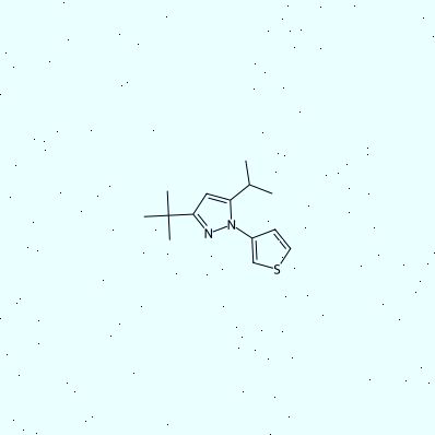 CC(C)c1cc(C(C)(C)C)nn1-c1ccsc1